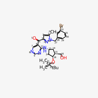 Cc1cc(C(=O)c2cncnc2N[C@@H]2C[C@@H](CO)[C@@H](O[Si](C)(C)C(C)(C)C)C2)nn1Cc1cccc(Br)c1